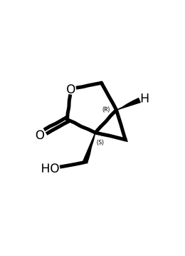 O=C1OC[C@@H]2C[C@]12CO